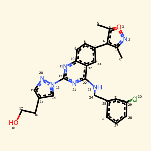 Cc1noc(C)c1-c1ccc2nc(-n3cc(CCO)cn3)nc(NCc3cccc(Cl)c3)c2c1